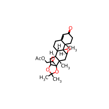 CC(=O)OCC(=O)[C@@]12OC(C)(C)OC1C[C@H]1[C@@H]3CCC4=CC(=O)CC[C@]4(C)[C@@]34O[C@H]4C[C@@]12C